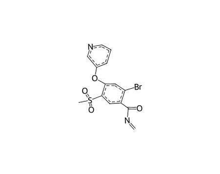 C=NC(=O)c1cc(S(C)(=O)=O)c(Oc2cccnc2)cc1Br